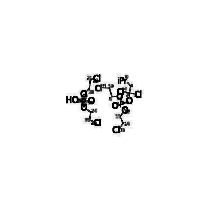 CC(C)CC(Cl)(Cl)OP(=O)(OCCCl)OCCCl.O=P(O)(OCCCl)OCCCl